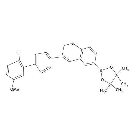 COc1ccc(F)c(-c2ccc(C3=Cc4cc(B5OC(C)(C)C(C)(C)O5)ccc4SC3)cc2)c1